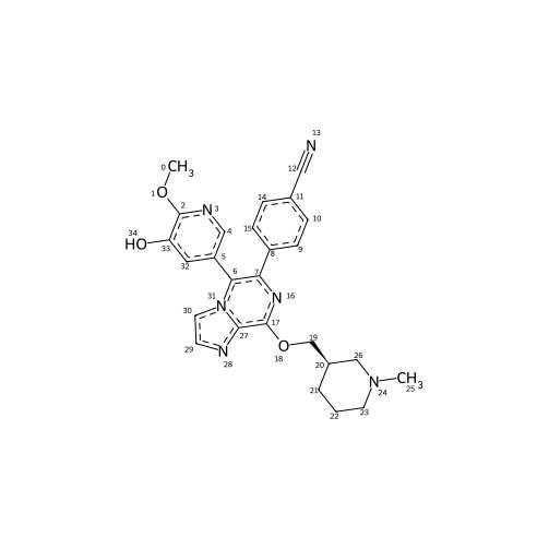 COc1ncc(-c2c(-c3ccc(C#N)cc3)nc(OC[C@@H]3CCCN(C)C3)c3nccn23)cc1O